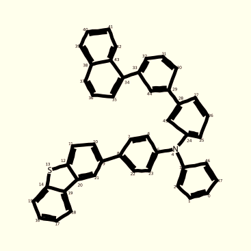 c1ccc(N(c2ccc(-c3ccc4sc5ccccc5c4c3)cc2)c2cccc(-c3cccc(-c4cccc5ccccc45)c3)c2)cc1